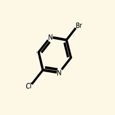 Clc1[c]nc(Br)cn1